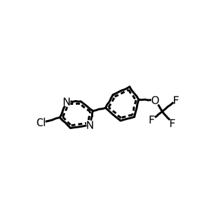 FC(F)(F)Oc1ccc(-c2cnc(Cl)cn2)cc1